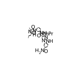 C/C=C/C(=O)N(C)[C@@H](C)C(=O)Nc1cccc(NC(=O)c2cnc(Nc3ccc(C(N)=O)cc3)nc2NCCC)c1